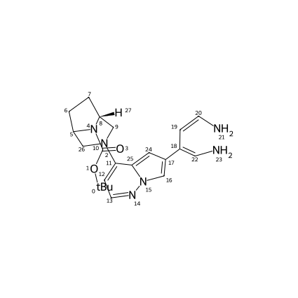 CC(C)(C)OC(=O)N1C2CC[C@@H]1CN(c1ccnn3cc(C(/C=C\N)=C/N)cc13)C2